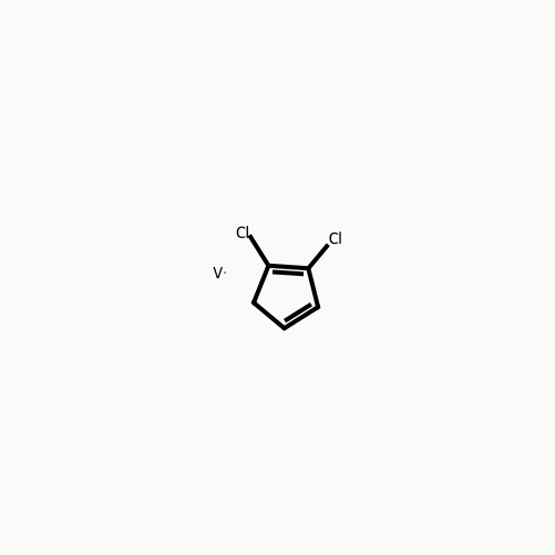 ClC1=C(Cl)CC=C1.[V]